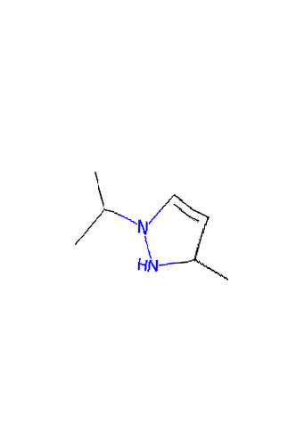 CC1C=CN(C(C)C)N1